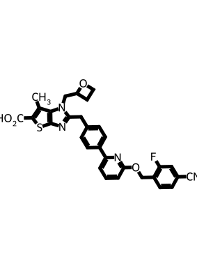 Cc1c(C(=O)O)sc2nc(Cc3ccc(-c4cccc(OCc5ccc(C#N)cc5F)n4)cc3)n(CC3CCO3)c12